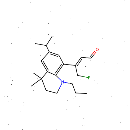 CCCN1CCC(C)(C)c2cc(C(C)C)cc(C(=CC=O)CF)c21